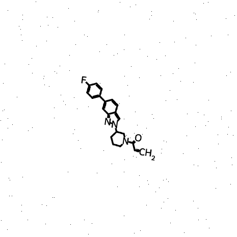 C=CC(=O)N1CCCC(n2cc3ccc(-c4ccc(F)cc4)cc3n2)C1